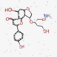 NOC[C@H](CCO)OC1COc2cc(O)c3c(=O)cc(-c4ccc(O)cc4)oc3c21